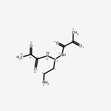 CC(=O)C(=O)NN(CCN)NC(=O)C(C)=O